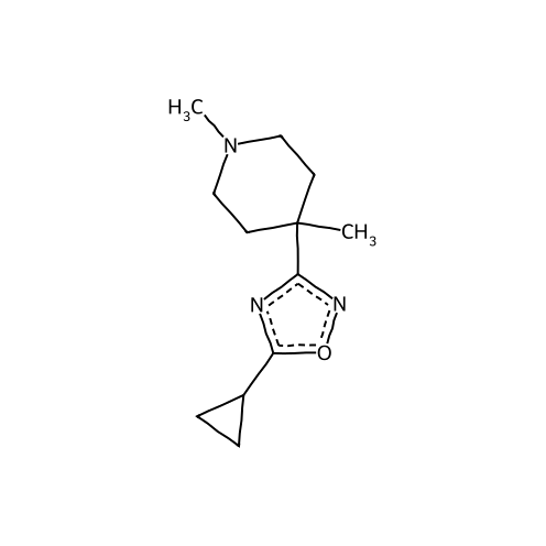 CN1CCC(C)(c2noc(C3CC3)n2)CC1